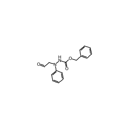 O=[C]CN(NC(=O)OCc1ccccc1)c1ccccc1